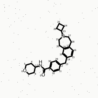 O=C(NC1CCOCC1)c1ccc(Cc2ccc3c(c2)CCN(C2CCC2)CC3)cc1